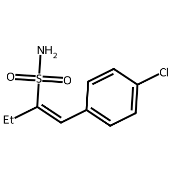 CCC(=Cc1ccc(Cl)cc1)S(N)(=O)=O